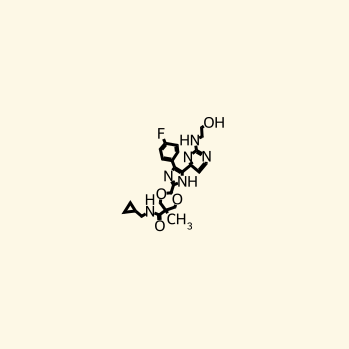 CC1(C(=O)NCC2CC2)COC(c2nc(-c3ccc(F)cc3)c(-c3ccnc(NCCO)n3)[nH]2)OC1